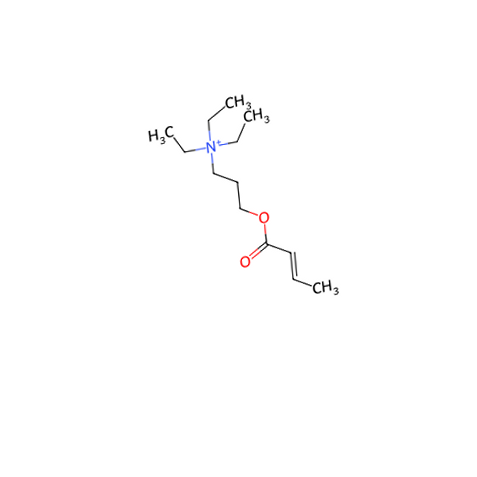 CC=CC(=O)OCCC[N+](CC)(CC)CC